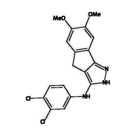 COc1cc2c(cc1OC)-c1n[nH]c(Nc3ccc(Cl)c(Cl)c3)c1C2